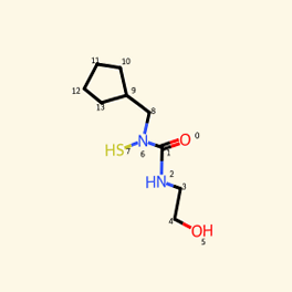 O=C(NCCO)N(S)CC1CCCC1